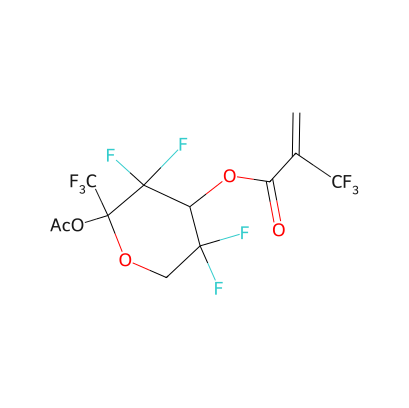 C=C(C(=O)OC1C(F)(F)COC(OC(C)=O)(C(F)(F)F)C1(F)F)C(F)(F)F